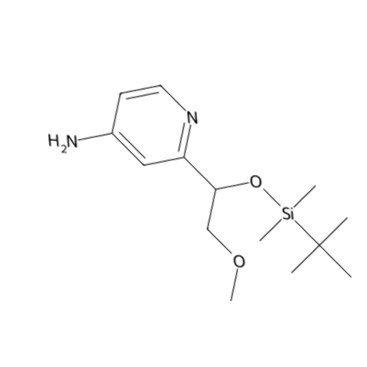 COCC(O[Si](C)(C)C(C)(C)C)c1cc(N)ccn1